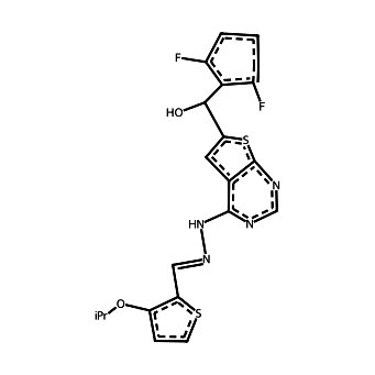 CC(C)Oc1ccsc1C=NNc1ncnc2sc(C(O)c3c(F)cccc3F)cc12